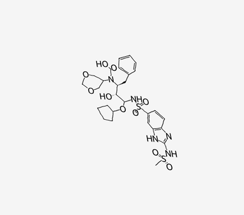 CS(=O)(=O)Nc1nc2ccc(S(=O)(=O)NC(OC3CCCC3)[C@H](O)[C@H](Cc3ccccc3)N(C(=O)O)C3COCOC3)cc2[nH]1